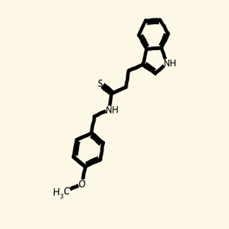 COc1ccc(CNC(=S)CCc2c[nH]c3ccccc23)cc1